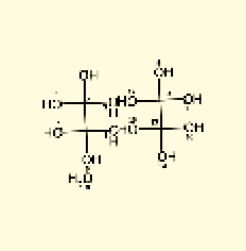 O.OC(O)(O)C(O)(O)O.OC(O)(O)C(O)(O)O